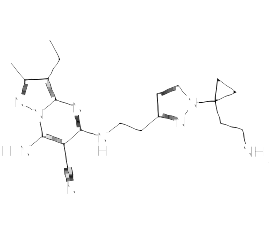 CCc1c(C)nn2c(N)c(C#N)c(NCCc3ccn(C4(CCN)CC4)n3)nc12